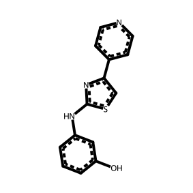 Oc1cccc(Nc2nc(-c3ccncc3)cs2)c1